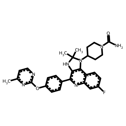 Cc1ccnc(Oc2ccc(-c3nc4cc(F)ccc4c4c3NC(C)(C)N4C3CCN(C(N)=O)CC3)cc2)n1